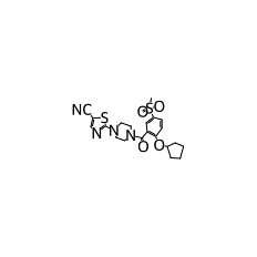 CS(=O)(=O)c1ccc(OC2CCCC2)c(C(=O)N2CCN(c3ncc(C#N)s3)CC2)c1